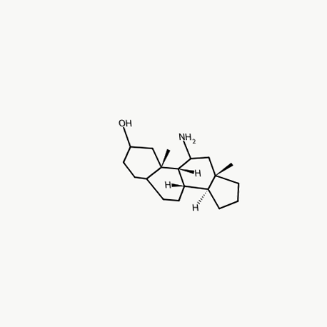 C[C@@]12CCC[C@H]1[C@@H]1CCC3CCC(O)C[C@]3(C)[C@@H]1C(N)C2